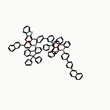 c1ccc(C2(c3cccc(-c4ccc(-c5cccc6c5oc5ccccc56)c(N(c5ccc(-c6ccc7ccccc7c6)cc5)c5cccc6c5-c5ccccc5C6(c5ccccc5)c5ccccc5)c4)c3)c3ccccc3-c3c(N(c4ccc(-c5ccc(-c6ccc7ccccc7c6)cc5)cc4)c4ccccc4-c4cccc5c4oc4ccccc45)cccc32)cc1